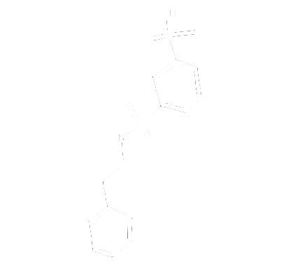 CS(=O)(=O)c1cccc(S(=O)(=O)NOCc2ccccc2)c1